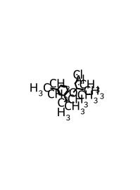 CC(C)(C)c1ccc(OC([CH2][Al][Cl])C(C)(C)C)c(C(C)(C)C)c1